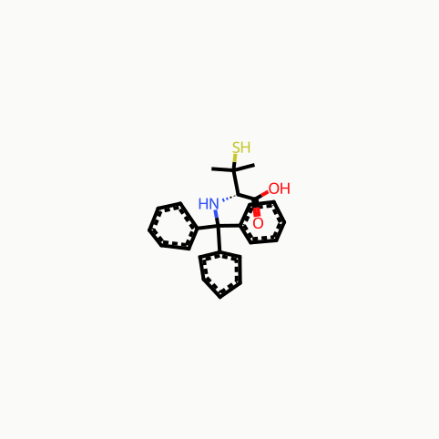 CC(C)(S)[C@@H](NC(c1ccccc1)(c1ccccc1)c1ccccc1)C(=O)O